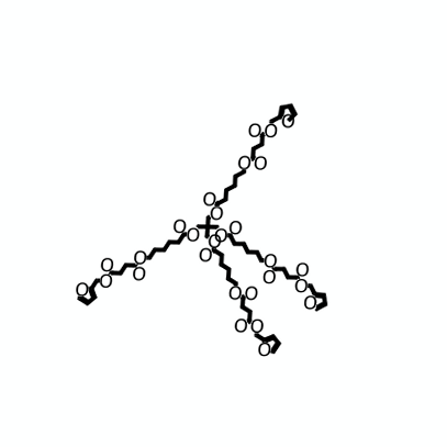 O=C(CCC(=O)OCc1ccco1)OCCCCCC(=O)OCC(COC(=O)CCCCCOC(=O)CCC(=O)OCc1ccco1)(COC(=O)CCCCCOC(=O)CCC(=O)OCc1ccco1)COC(=O)CCCCCOC(=O)CCC(=O)OCc1ccco1